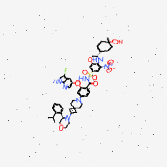 CC(C)c1ccccc1[C@@H]1COCCN1C1CC2(CCN(c3ccc(C(=O)NS(=O)(=O)c4cc5c(c([N+](=O)[O-])c4)N[C@@H](C4CCC(C)(O)CC4)CO5)c(Oc4cnc5[nH]cc(F)c5c4)c3)CC2)C1